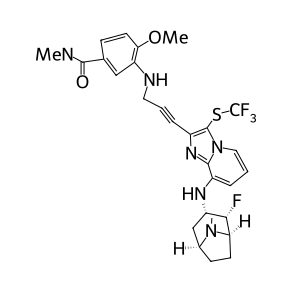 CNC(=O)c1ccc(OC)c(NCC#Cc2nc3c(N[C@H]4C[C@@H]5CC[C@H]([C@H]4F)N5C)cccn3c2SC(F)(F)F)c1